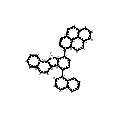 c1ccc2c(-c3ccc(-c4ccc5ccc6cccc7ccc4c5c67)c4oc5c6ccccc6ccc5c34)cccc2c1